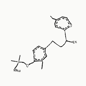 CCC(CCc1ccc(O[Si](C)(C)C(C)(C)C)c(C)c1)c1cc(C)cs1